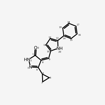 O=C1NN=C(C2CC2)C1=Cc1ccc(-c2ccccc2)[nH]1